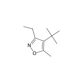 CCc1noc(C)c1C(C)(C)C